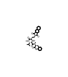 CC(C)C[C@H](N[C@H](CCN1C(=O)c2cc3ccccc3cc2C1=O)C(=O)O)C(=O)N(C)[C@@H](Cc1ccccc1)C(N)=O